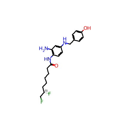 Nc1cc(NCc2ccc(O)cc2)ccc1NC(=O)CCCCC[C@H](F)CF